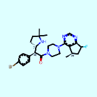 C[C@@H]1CC(F)c2ncnc(N3CCN(C(=O)[C@@H](c4ccc(Br)cc4)[C@@H]4CCC(C)(C)N4)CC3)c21